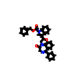 O=C(CN1C(=O)CN=C(c2ccccc2)c2ccccc21)c1cn(C(=O)OCc2ccccc2)c2ccccc12